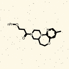 CCCOCCC(=O)N1CCN2c3ncc(C)cc3OCCC2C1